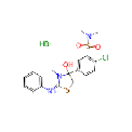 Br.Cc1ccccc1/N=C1/SCC(O)(c2ccc(Cl)c(S(=O)(=O)N(C)C)c2)N1C